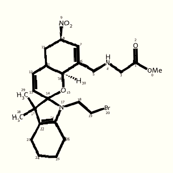 COC(=O)CNCC1=C[C@H]([N+](=O)[O-])CC2C=CC3(O[C@H]12)N(CCBr)C1=C(CCCC1)C3(C)C